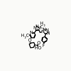 Cc1nc(-c2nnn(C)c2Cn2nnnc2-c2ccc(F)cc2)ccc1O[C@H]1CCC[C@H](C(=O)O)C1